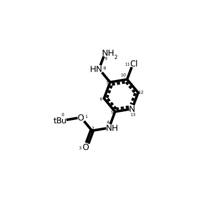 CC(C)(C)OC(=O)Nc1cc(NN)c(Cl)cn1